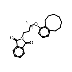 C[C@@H](CCN1C(=O)c2ccccc2C1=O)Oc1cccc2c1CCCCCCC2